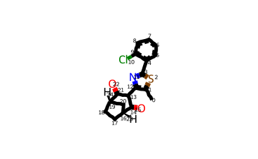 Cc1sc(-c2ccccc2Cl)nc1C1C(=O)[C@@H]2CC[C@@H](C2)C1=O